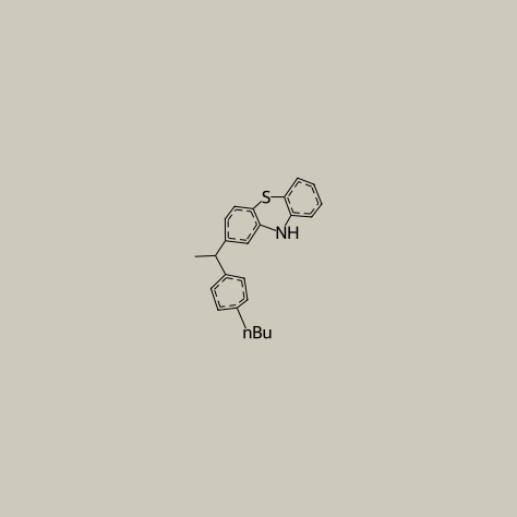 CCCCc1ccc(C(C)c2ccc3c(c2)Nc2ccccc2S3)cc1